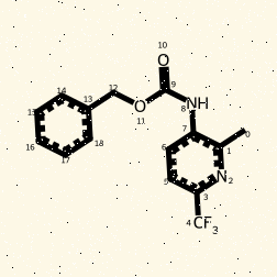 Cc1nc(C(F)(F)F)ccc1NC(=O)OCc1ccccc1